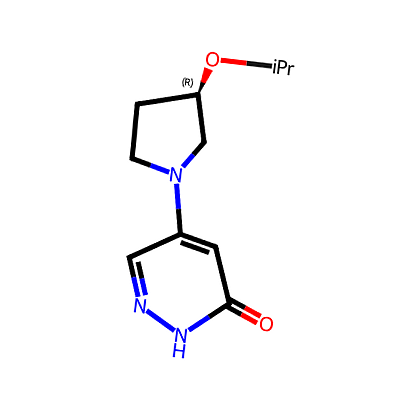 CC(C)O[C@@H]1CCN(c2cn[nH]c(=O)c2)C1